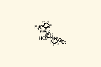 CCOc1ccnc(N2CCN(C(=O)c3ccccc3C(F)(F)F)CC2)n1.Cl